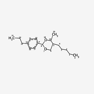 CCCCCC1COC(c2ccc(CCC)cc2)OC1C